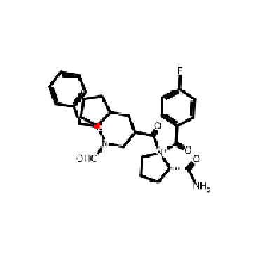 NC(=O)[C@@H]1CCC[N+]1(C(=O)c1ccc(F)cc1)C(=O)C(CC1CCCC1)CN(C=O)OCc1ccccc1